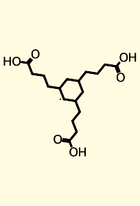 O=C(O)CCCC1[CH]C(CCCC(=O)O)CC(CCCC(=O)O)C1